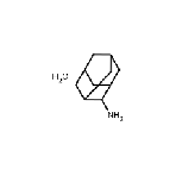 NC1C2CC3CC(C2)CC1C3.O